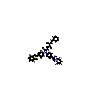 CC(=C\C=C1\C=CCCC1)/C(C)=C/C[C@H](C)N(c1ccc(-c2cn3ccccc3n2)cc1)c1ccc(-c2cc3ccccc3s2)cc1